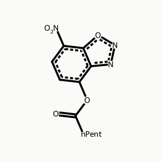 CCCCCC(=O)Oc1ccc([N+](=O)[O-])c2onnc12